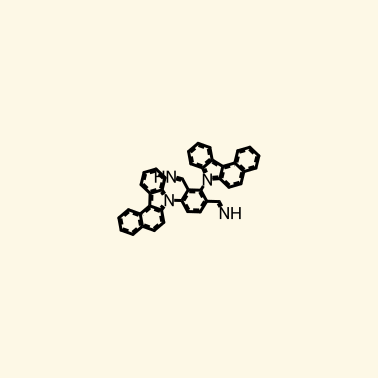 N=Cc1ccc(-n2c3ccccc3c3c4ccccc4ccc32)c(C=N)c1-n1c2ccccc2c2c3ccccc3ccc21